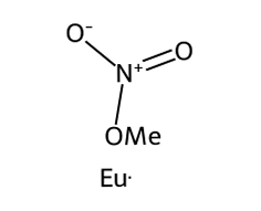 CO[N+](=O)[O-].[Eu]